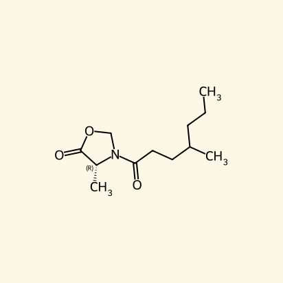 CCCC(C)CCC(=O)N1COC(=O)[C@H]1C